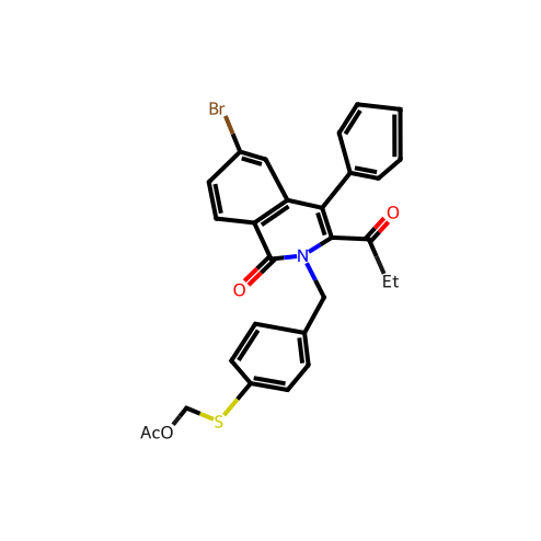 CCC(=O)c1c(-c2ccccc2)c2cc(Br)ccc2c(=O)n1Cc1ccc(SCOC(C)=O)cc1